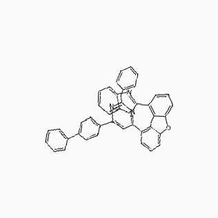 c1ccc(-c2ccc(-c3cc(-c4cccc5oc6cccc(-c7nc8ccccc8s7)c6c45)nc(-c4ccccc4)n3)cc2)cc1